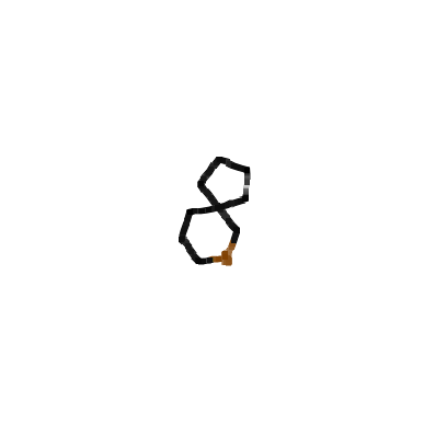 C1CCC2(C1)CCCSC2